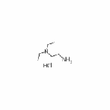 CCN(CC)CCN.Cl